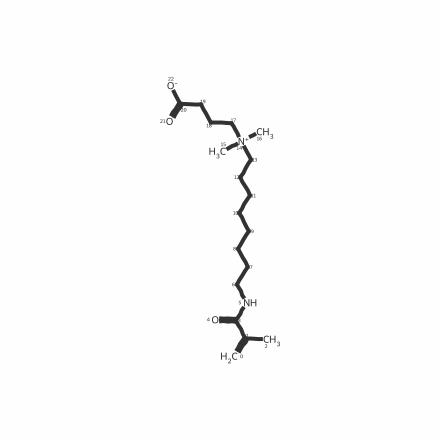 C=C(C)C(=O)NCCCCCCCC[N+](C)(C)CCCC(=O)[O-]